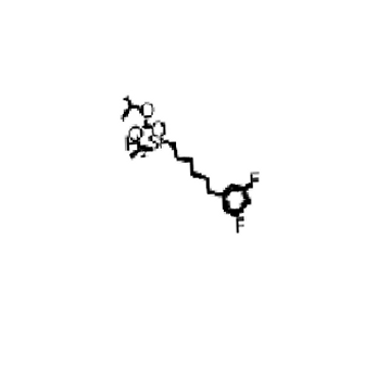 CC(C)OC(O[SiH2]CCCCCCc1cc(F)cc(F)c1)OC(C)C